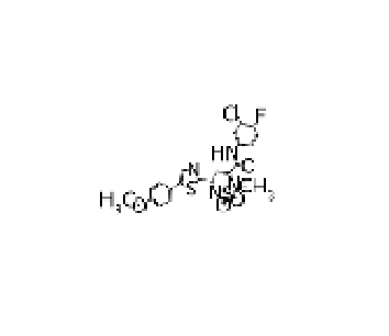 COc1ccc(-c2cnc(C3=NS(=O)(=O)N(C)C(C(=O)Nc4ccc(F)c(Cl)c4)=C3)s2)cc1